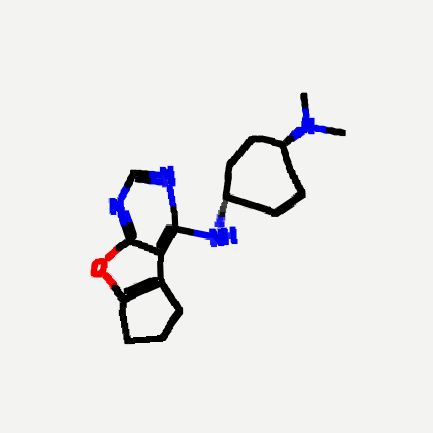 CN(C)[C@H]1CC[C@H](Nc2ncnc3oc4c(c23)CCC4)CC1